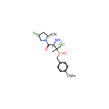 COc1ccc(C[S+]([O-])C(C)(C)[C@H](N)C(=O)N2C[C@@H](F)C[C@H]2C#N)cc1.Cl